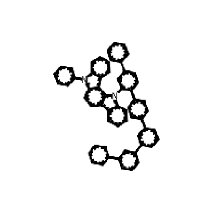 c1ccc(-c2cccc(-c3cccc(-c4ccc(-c5ccc(-c6ccccc6)cc5-n5c6ccccc6c6ccc7c(c8ccccc8n7-c7ccccc7)c65)cc4)c3)c2)cc1